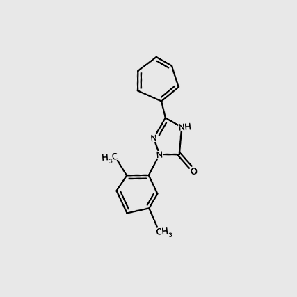 Cc1ccc(C)c(-n2nc(-c3ccccc3)[nH]c2=O)c1